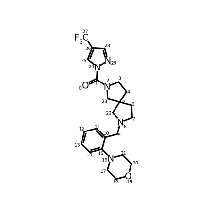 O=C(N1CCC2(CCN(Cc3ccccc3N3CCOCC3)C2)C1)n1cc(C(F)(F)F)cn1